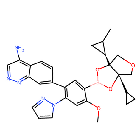 COc1cc(-n2cccn2)c(-c2ccc3c(N)cnnc3c2)cc1B1OC2([C@H]3CC3C)COC[C@]2(C2CC2)O1